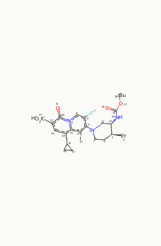 CC[C@H]1CCN(c2c(F)cn3c(=O)c(C(=O)O)cc(C4CC4)c3c2C)C[C@H]1NC(=O)OC(C)(C)C